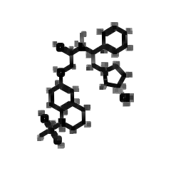 CN(C(=O)COc1ccc2c(c1)CCCN2S(C)(=O)=O)C(CN1CC[C@H](O)C1)c1ccccc1